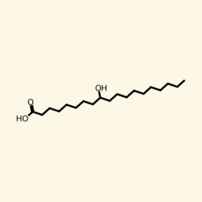 CCCCCCCCCCC(O)CCCCCCCC(=O)O